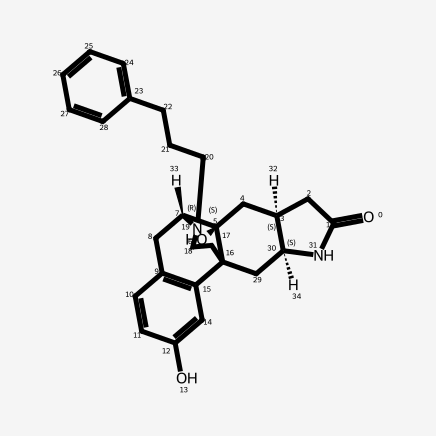 O=C1C[C@@H]2C[C@@]3(O)[C@H]4Cc5ccc(O)cc5C3(CCN4CCCc3ccccc3)C[C@@H]2N1